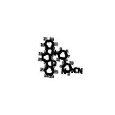 N#Cc1cncc(-c2cccc(-n3c4ccccc4c4ccc5c6ccccc6oc5c43)c2)c1